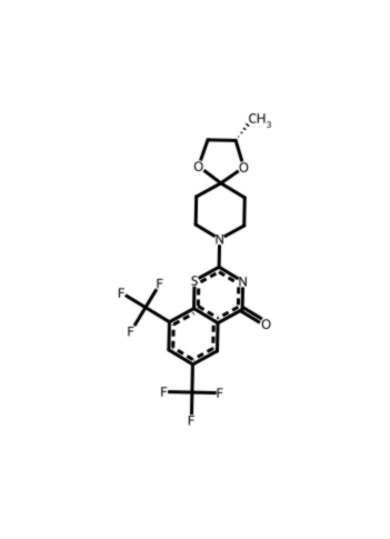 C[C@H]1COC2(CCN(c3nc(=O)c4cc(C(F)(F)F)cc(C(F)(F)F)c4s3)CC2)O1